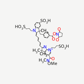 CON(C)C(=O)c1cc2c([n+](CCCS(=O)(=O)O)c1)N=C(/C=C/C=C/C=C1/N(CCCS(=O)(=O)O)c3ccc(S(=O)(=O)O)cc3C1(C)Cc1ccc(C(=O)ON3C(=O)CCC3=O)cc1)C2(C)C